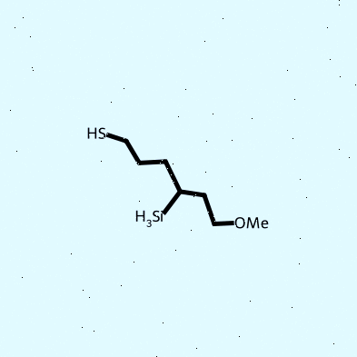 COCCC([SiH3])CCCS